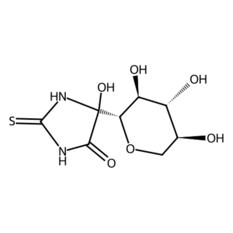 O=C1NC(=S)NC1(O)[C@H]1OC[C@H](O)[C@@H](O)[C@@H]1O